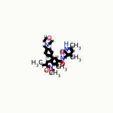 CCC1Cc2c(-c3ccc(CN4CCOCC4)cc3)cc(C(=O)NCc3c(C)cc(C)[nH]c3=O)c(C)c2N(CC)C1O